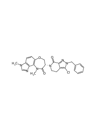 CN1C(=O)[C@@H](N2CCc3c(nn(Cc4ccccc4)c3Cl)C2=O)COc2ccc3c(ncn3C)c21